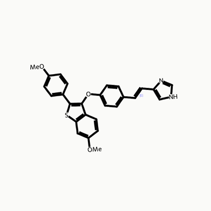 COc1ccc(-c2sc3cc(OC)ccc3c2Oc2ccc(/C=C/c3c[nH]cn3)cc2)cc1